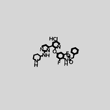 Cl.O=S(=O)(Cc1ccccc1)Nc1c(F)cc(Oc2ncccc2-c2ccnc(NC3CCCNC3)n2)cc1F